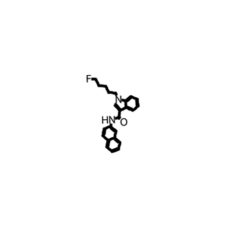 O=C(Nc1ccc2ccccc2c1)c1cn(CCCCCF)c2ccccc12